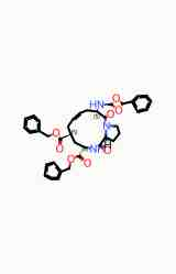 O=C(OCc1ccccc1)[C@H]1CC=CC[C@H](NC2OC(c3ccccc3)O2)C(=O)N2CCC[C@H]2C(=O)N[C@H](C(=O)OCc2ccccc2)C1